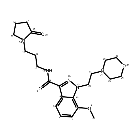 COc1cccc2c(C(=O)NCCCN3CCCC3=O)nn(CCN3CCOCC3)c12